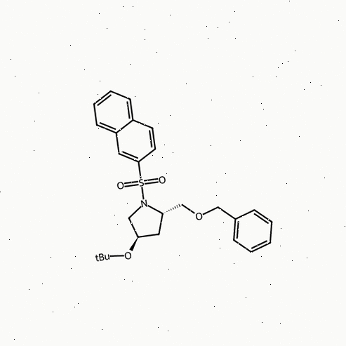 CC(C)(C)O[C@@H]1C[C@@H](COCc2ccccc2)N(S(=O)(=O)c2ccc3ccccc3c2)C1